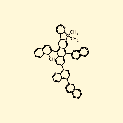 CC1C(C2=C3CC4C(=CC3=C(c3ccc5ccccc5c3)C3=CC(C5C=CC(c6ccc7ccccc7c6)=C6C=CC=CC65)=CCC32)[Si](C)(C)c2ccccc24)=CC=C2C=CC=CC21